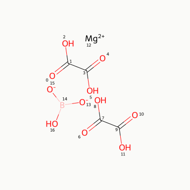 O=C(O)C(=O)O.O=C(O)C(=O)O.[Mg+2].[O-]B([O-])O